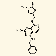 Cc1nc(NCc2ccccc2)c2ccnc(OCC3CN(C)C(=O)O3)c2n1